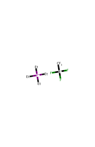 CC[P+](CC)(CC)CC.F[B-](F)(F)C(F)(F)F